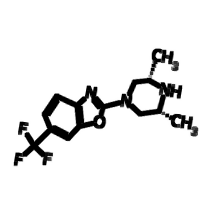 C[C@@H]1CN(c2nc3ccc(C(F)(F)F)cc3o2)C[C@H](C)N1